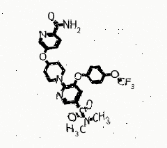 CN(C)S(=O)(=O)c1cnc(N2CCC(Oc3ccc(C(N)=O)nc3)CC2)c(Oc2ccc(OC(F)(F)F)cc2)c1